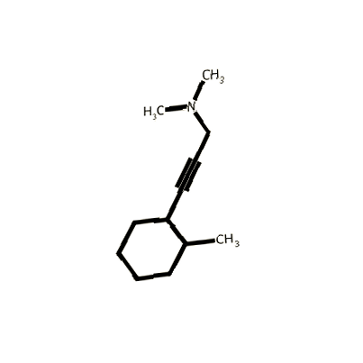 CC1CCCCC1C#CCN(C)C